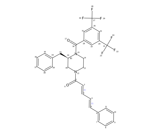 O=C(/C=C/C=C/c1ccccc1)N1CCN(C(=O)c2cc(C(F)(F)F)cc(C(F)(F)F)c2)[C@H](Cc2ccccc2)C1